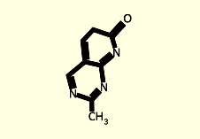 Cc1ncc2c(n1)=NC(=O)CC=2